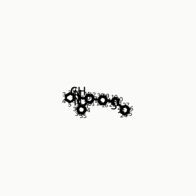 C[C@]12C=CC=CC1N1C(=N2)c2ccc(-c3ccc(-c4ccc(-c5ccccc5)s4)cc3)cc2-c2ccccc21